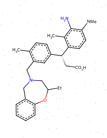 CCC1CN(Cc2cc([C@@H](CC(=O)O)c3ccc(NC)c(N)c3C)ccc2C)Cc2ccccc2O1